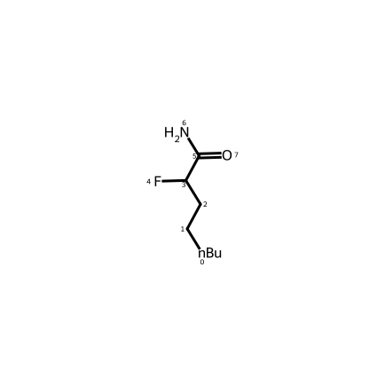 CCCCCCC(F)C(N)=O